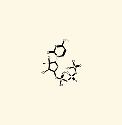 C[C@@]1(Cl)[C@H](O)C(OP(=O)(O)OP(=O)(O)OP(=O)(O)O)O[C@H]1n1ccc(N)nc1=O